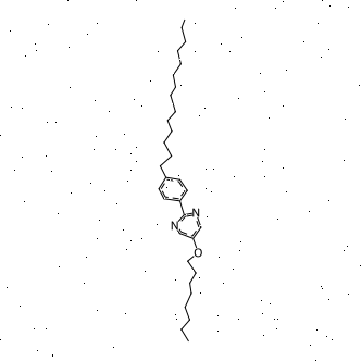 CCCCCCCCCCCCCCc1ccc(-c2ncc(OCCCCCCCC)cn2)cc1